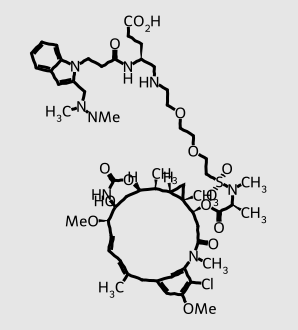 CNN(C)Cc1cc2ccccc2n1CCC(=O)N[C@@H](CCC(=O)O)CNCCOCCOCCS(=O)(=O)N(C)[C@@H](C)C(=O)O[C@H]1CC(=O)N(C)c2cc(cc(OC)c2Cl)C/C(C)=C/C=C/[C@@H](OC)[C@@]2(O)C[C@H](OC(=O)N2)[C@@H](C)[C@@H]2C[C@]12C